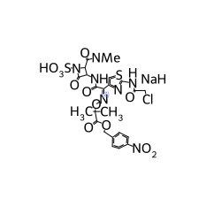 CNC(=O)C1C(NC(=O)/C(=N\OC(C)(C)C(=O)OCc2ccc([N+](=O)[O-])cc2)c2csc(NC(=O)CCl)n2)C(=O)N1S(=O)(=O)O.[NaH]